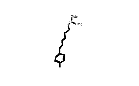 CO[SiH](OC)OCCCCCCc1ccc(F)cc1